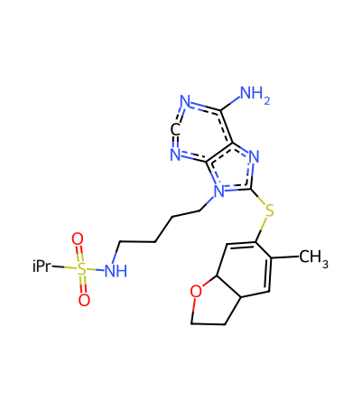 CC1=CC2CCOC2C=C1Sc1nc2c(N)ncnc2n1CCCCNS(=O)(=O)C(C)C